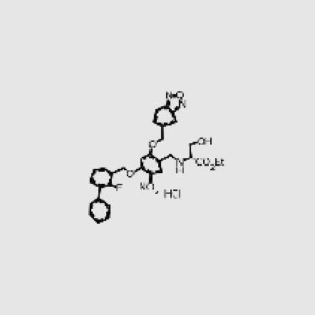 CCOC(=O)[C@@H](CO)NCc1cc([N+](=O)[O-])c(OCc2cccc(-c3ccccc3)c2F)cc1OCc1ccc2nonc2c1.Cl